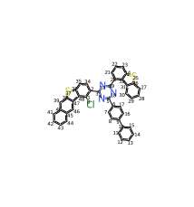 Clc1c(-c2nc(-c3ccc(-c4ccccc4)cc3)nc(-c3cccc4sc5ccccc5c34)n2)ccc2sc3cc4ccccc4cc3c12